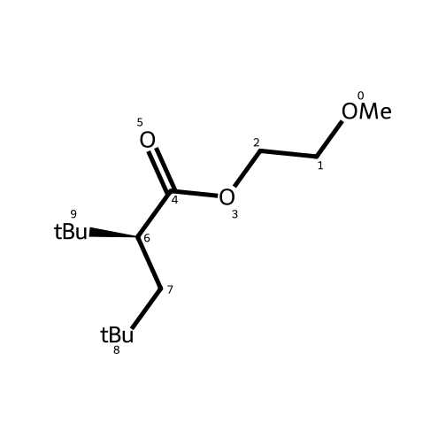 COCCOC(=O)[C@@H](CC(C)(C)C)C(C)(C)C